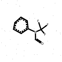 O=[C]N(c1ccccc1)C(F)(F)F